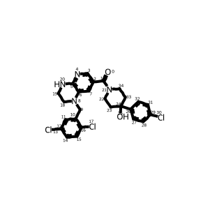 O=C(c1cnc2c(c1)N(Cc1cc(Cl)ccc1Cl)CCN2)N1CCC(O)(c2ccc(Cl)cc2)CC1